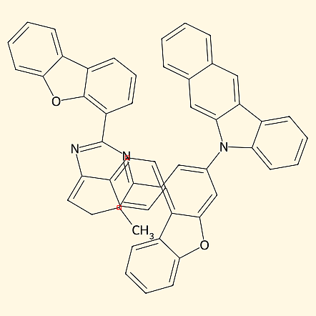 CC1C/C=C(c2ccccc2)/N=C(c2cccc3c2oc2ccccc23)\N=C/1c1cc(-n2c3ccccc3c3cc4ccccc4cc32)cc2oc3ccccc3c12